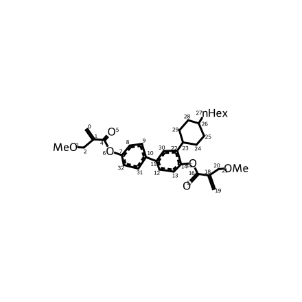 C=C(COC)C(=O)Oc1ccc(-c2ccc(OC(=O)C(=C)COC)c(C3CCC(CCCCCC)CC3)c2)cc1